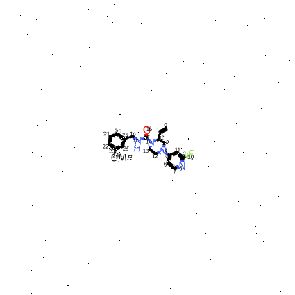 C=CC1CN(c2ccnc(F)c2)CCN1C(=O)NCc1cccc(OC)c1